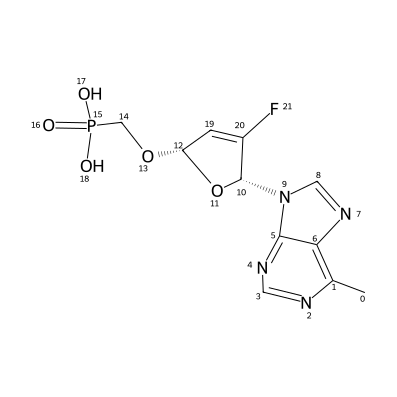 Cc1ncnc2c1ncn2[C@@H]1O[C@H](OCP(=O)(O)O)C=C1F